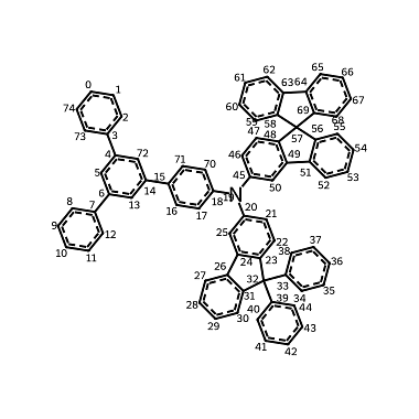 c1ccc(-c2cc(-c3ccccc3)cc(-c3ccc(N(c4ccc5c(c4)-c4ccccc4C5(c4ccccc4)c4ccccc4)c4ccc5c(c4)-c4ccccc4C54c5ccccc5-c5ccccc54)cc3)c2)cc1